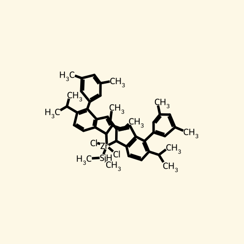 CCC1=Cc2c(ccc(C(C)C)c2-c2cc(C)cc(C)c2)[CH]1[Zr]([Cl])([Cl])([CH]1C(CC)=Cc2c1ccc(C(C)C)c2-c1cc(C)cc(C)c1)[SiH](C)C